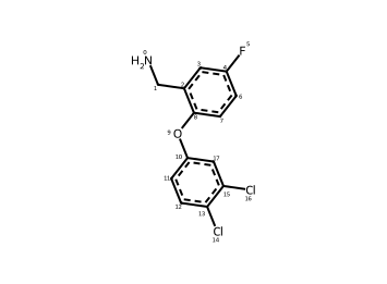 NCc1cc(F)ccc1Oc1ccc(Cl)c(Cl)c1